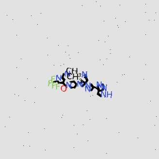 CN(C)Cc1cc(C(=O)N2CCC(N3CC(CC#N)(n4cc(-c5ncnc6[nH]ccc56)cn4)C3)CC2)c(F)c(C(F)(F)F)n1